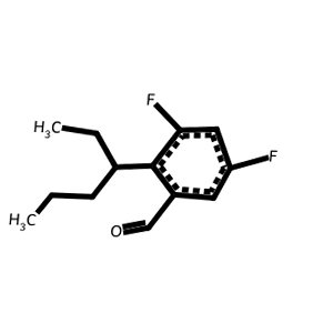 CCCC(CC)c1c(F)cc(F)cc1C=O